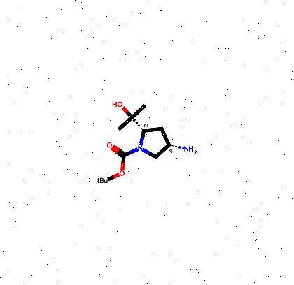 CC(C)(C)OC(=O)N1C[C@@H](N)C[C@H]1C(C)(C)O